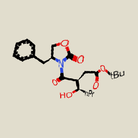 CCC[C@@H](O)[C@H](CC(=O)OC(C)(C)C)C(=O)N1C(=O)OC[C@@H]1Cc1ccccc1